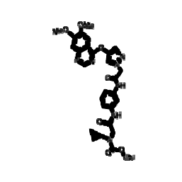 COc1cc2ncnc(Oc3cnn(CC(=O)Nc4cccc(NC(=O)CN(C(=O)OC(C)(C)C)C5CC5)c4)c3)c2cc1OC